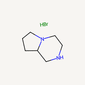 Br.C1CC2CNCCN2C1